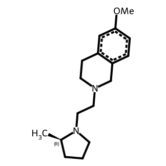 COc1ccc2c(c1)CCN(CCN1CCC[C@H]1C)C2